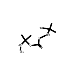 CC(C)(C)BC(C)(C)OC(=O)OBC(C)(C)O